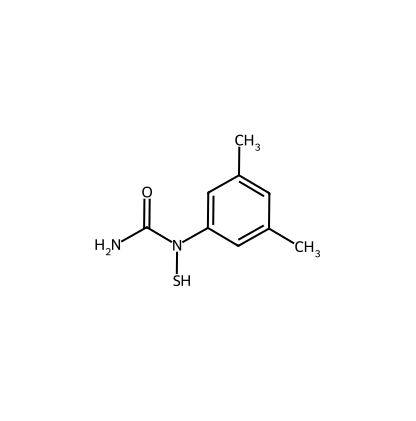 Cc1cc(C)cc(N(S)C(N)=O)c1